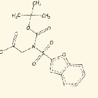 CC(C)(C)OC(=O)N(CC(=O)O)S(=O)(=O)c1cc2ccccc2o1